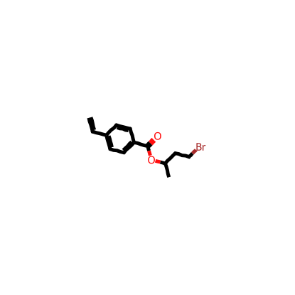 C=Cc1ccc(C(=O)OC(C)CCBr)cc1